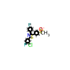 C[S+]([O-])c1ccc(-c2sc(-c3ccc(F)c(Cl)c3)nc2-c2ccc(F)cc2)cc1